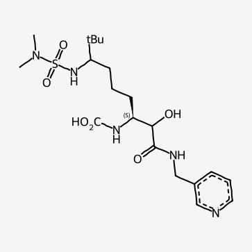 CN(C)S(=O)(=O)NC(CCC[C@H](NC(=O)O)C(O)C(=O)NCc1cccnc1)C(C)(C)C